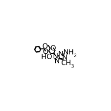 Cc1nc(N)nc2c1ncn2C1COC2COC(c3ccccc3)OC2C1O